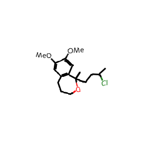 COc1cc2c(cc1OC)C(C)(CCC(C)Cl)OCCC2